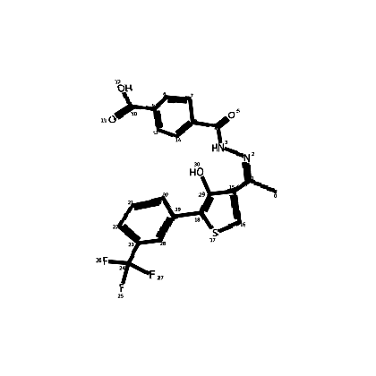 CC(=NNC(=O)c1ccc(C(=O)O)cc1)c1csc(-c2cccc(C(F)(F)F)c2)c1O